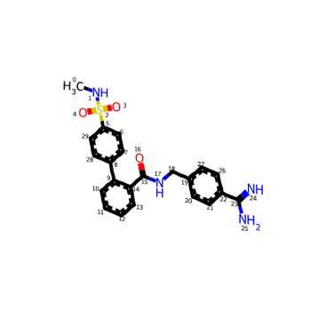 CNS(=O)(=O)c1ccc(-c2ccccc2C(=O)NCc2ccc(C(=N)N)cc2)cc1